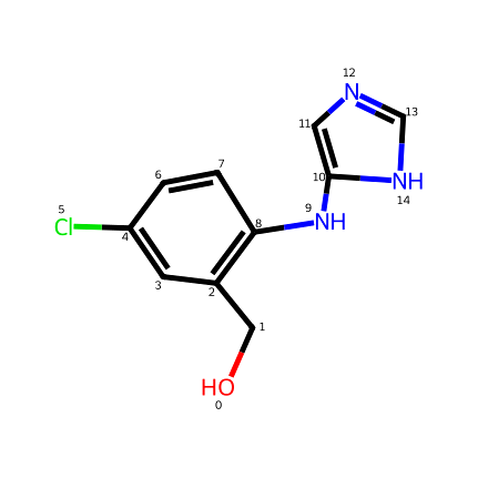 OCc1cc(Cl)ccc1Nc1cnc[nH]1